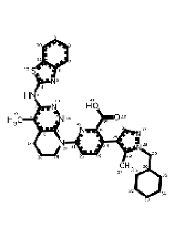 Cc1c(Nc2nc3ccccc3s2)nnc2c1CCCN2c1ccc(-c2cnn(CC3CCCCC3)c2C)c(C(=O)O)n1